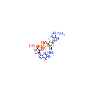 Nc1nc2c(ncn2[C@@H]2O[C@H](CO)[C@@H](F)[C@H]2OP(O)(=S)OC2[C@H]3O[C@@H](n4cnc5c(N)ncnc54)[C@H](F)[C@@]23O)c(=O)[nH]1